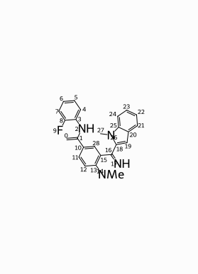 C=C(Nc1ccccc1F)c1ccc(NC)c(C(=N)c2cc3ccccc3n2C)c1